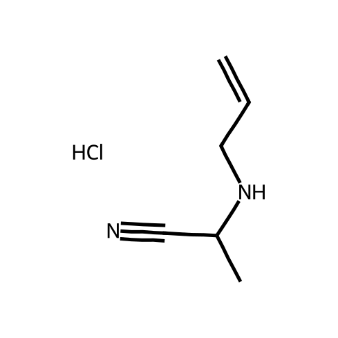 C=CCNC(C)C#N.Cl